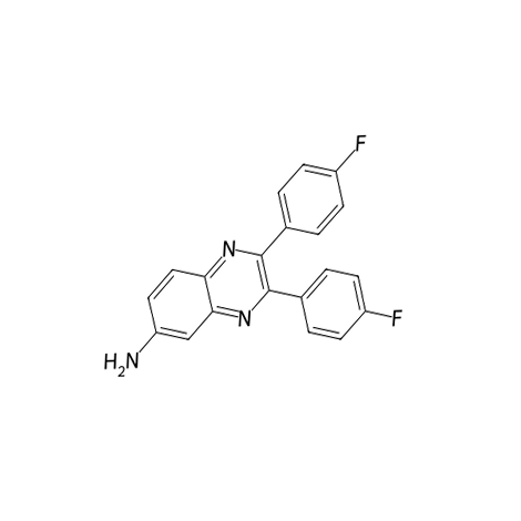 Nc1ccc2nc(-c3ccc(F)cc3)c(-c3ccc(F)cc3)nc2c1